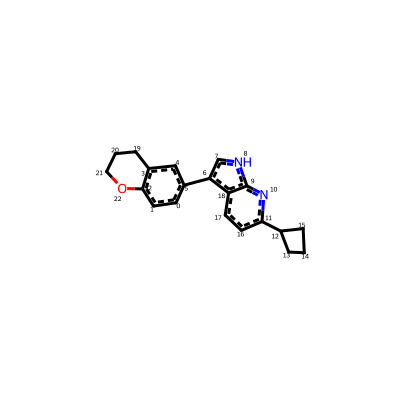 c1cc2c(cc1-c1c[nH]c3nc(C4CCC4)ccc13)CCCO2